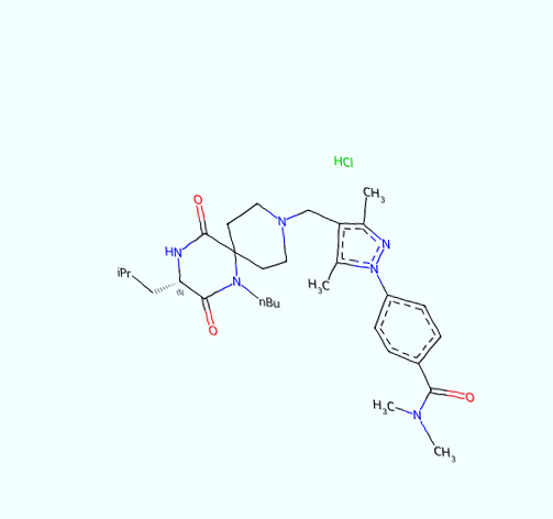 CCCCN1C(=O)[C@H](CC(C)C)NC(=O)C12CCN(Cc1c(C)nn(-c3ccc(C(=O)N(C)C)cc3)c1C)CC2.Cl